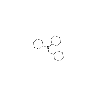 C1CCC(C[S+](C2CCCCC2)C2CCCCC2)CC1